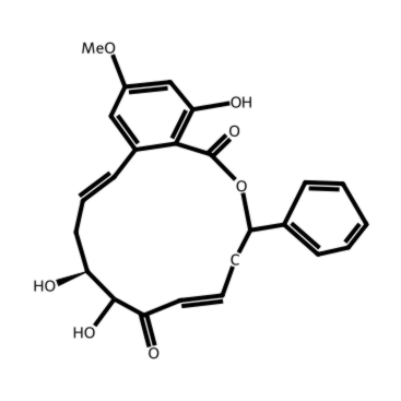 COc1cc(O)c2c(c1)/C=C/C[C@H](O)C(O)C(=O)/C=C/CC(c1ccccc1)OC2=O